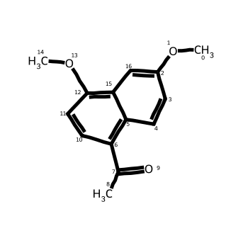 COc1ccc2c(C(C)=O)ccc(OC)c2c1